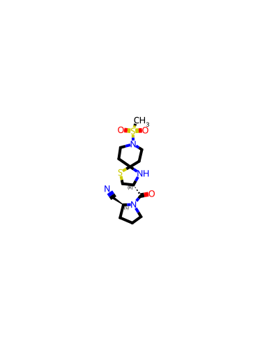 CS(=O)(=O)N1CCC2(CC1)N[C@H](C(=O)N1CCC[C@H]1C#N)CS2